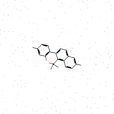 CC(C)(C)c1ccc2c(c1)OC(C)(C)c1c-2ccc2cc(C(C)(C)C)ccc12